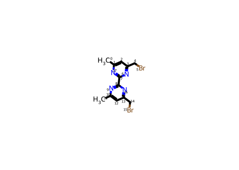 Cc1cc(CBr)nc(-c2nc(C)cc(CBr)n2)n1